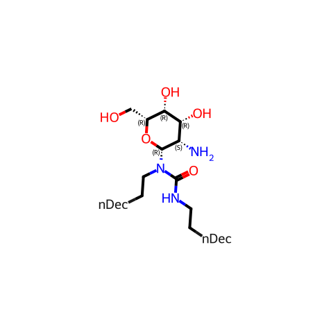 CCCCCCCCCCCCNC(=O)N(CCCCCCCCCCCC)[C@@H]1O[C@H](CO)[C@H](O)[C@H](O)[C@@H]1N